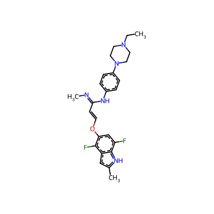 CCN1CCN(c2ccc(NC(/C=C/Oc3cc(F)c4[nH]c(C)cc4c3F)=N/C)cc2)CC1